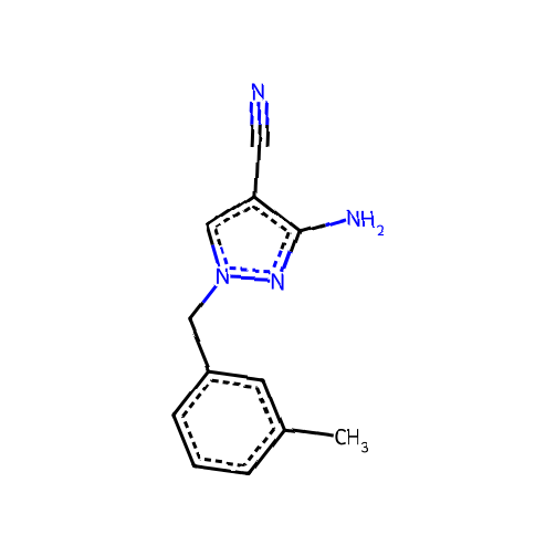 Cc1cccc(Cn2cc(C#N)c(N)n2)c1